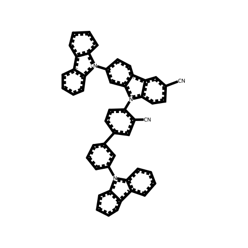 N#Cc1ccc2c(c1)c1ccc(-n3c4ccccc4c4ccccc43)cc1n2-c1ccc(-c2cccc(-n3c4ccccc4c4ccccc43)c2)cc1C#N